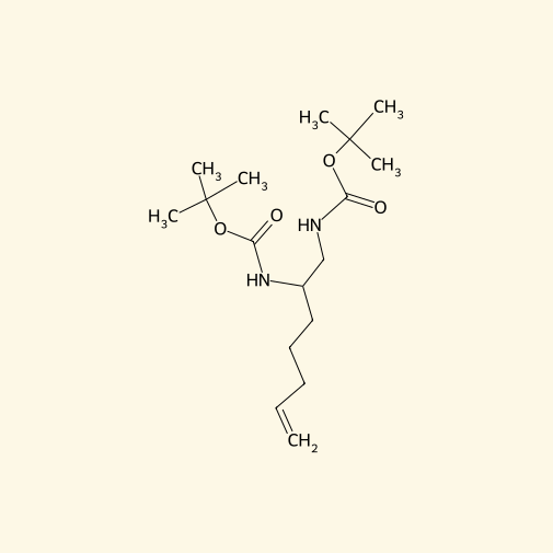 C=CCCCC(CNC(=O)OC(C)(C)C)NC(=O)OC(C)(C)C